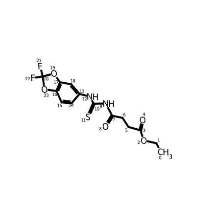 CCOC(=O)CCC(=O)NC(=S)Nc1ccc2c(c1)OC(F)(F)O2